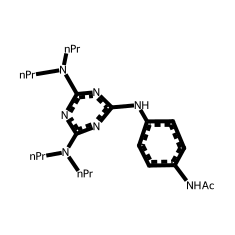 CCCN(CCC)c1nc(Nc2ccc(NC(C)=O)cc2)nc(N(CCC)CCC)n1